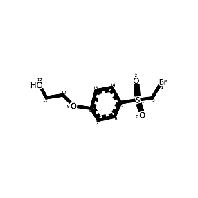 O=S(=O)(CBr)c1ccc(OCCO)cc1